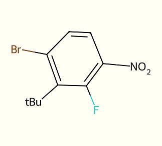 CC(C)(C)c1c(Br)ccc([N+](=O)[O-])c1F